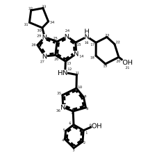 Oc1ccccc1-c1ccc(CNc2nc(NC3CCC(O)CC3)nc3c2ncn3C2CCCC2)cn1